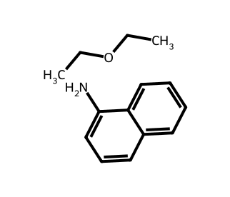 CCOCC.Nc1cccc2ccccc12